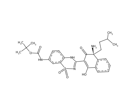 CC(C)CC[C@@]1(N)C(=O)C(C2=NS(=O)(=O)c3cc(NC(=O)OC(C)(C)C)ccc3N2)=C(O)c2ccccc21